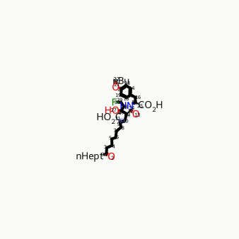 CCCCCCCC(=O)CCCCCC/C=C/[C@H](C(=O)N[C@@H](Cc1ccc(OCCCC)cc1)C(=O)O)[C@@](O)(CCF)C(=O)O